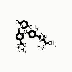 COC(=O)c1ccc(CN2CC(C)CCC2=O)c(Oc2ccc(-c3nnc(C(C)C)s3)cc2)c1